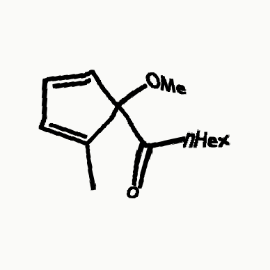 CCCCCCC(=O)C1(OC)C=CC=C1C